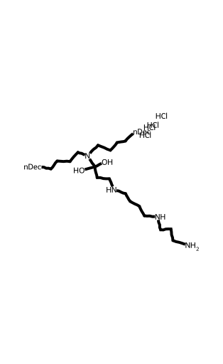 CCCCCCCCCCCCCCN(CCCCCCCCCCCCCC)C(O)(O)CCNCCCCNCCCN.Cl.Cl.Cl.Cl